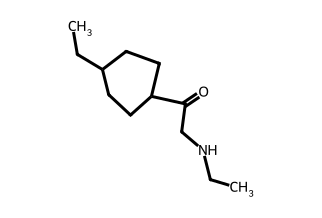 CCNCC(=O)C1CCC(CC)CC1